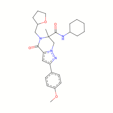 COc1ccc(-c2cc3n(n2)CC(C)(C(=O)NC2CCCCC2)N(CC2CCCO2)C3=O)cc1